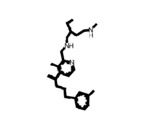 C=C(CCCc1cccc(C)c1)c1ccnc(CNCC(CC)CCNC)c1C